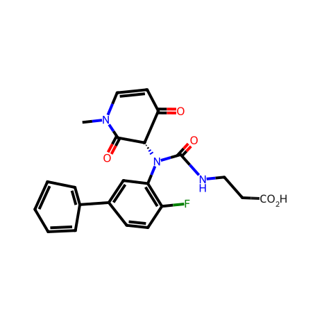 CN1C=CC(=O)[C@H](N(C(=O)NCCC(=O)O)c2cc(-c3ccccc3)ccc2F)C1=O